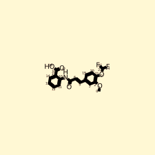 COc1cc(C=CC(=O)Nc2ccccc2C(=O)O)ccc1OC(F)F